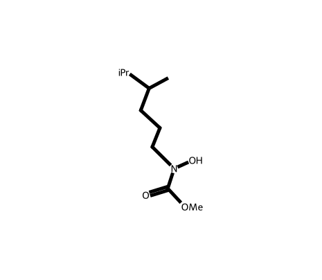 COC(=O)N(O)CCCC(C)C(C)C